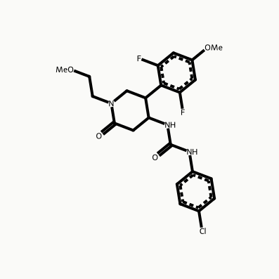 COCCN1CC(c2c(F)cc(OC)cc2F)C(NC(=O)Nc2ccc(Cl)cc2)CC1=O